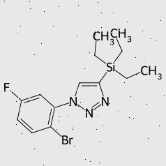 CC[Si](CC)(CC)c1cn(-c2cc(F)ccc2Br)nn1